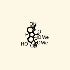 C=C1C[C@]23C[C@@]1(O)CC[C@H]2C1=C[C@@H](O)[C@H](O)[C@@](C)(C(=O)OC)[C@H]1[C@@H]3C(=O)OC